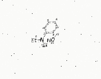 CCN(CC)c1ccccc1.CO